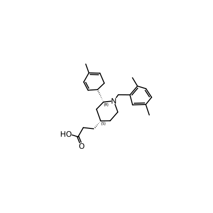 CC1=CCC([C@H]2C[C@@H](CCC(=O)O)CCN2Cc2cc(C)ccc2C)C=C1